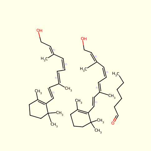 CC1=C(/C=C/C(C)=C/C=C\C(C)=C\CO)C(C)(C)CCC1.CC1=C(/C=C/C(C)=C/C=C\C(C)=C\CO)C(C)(C)CCC1.CCCCCC=O